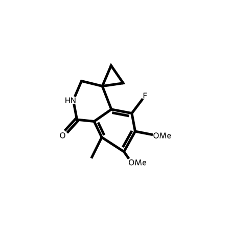 COc1c(C)c2c(c(F)c1OC)C1(CC1)CNC2=O